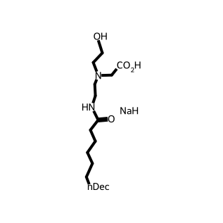 CCCCCCCCCCCCCCCC(=O)NCCN(CCO)CC(=O)O.[NaH]